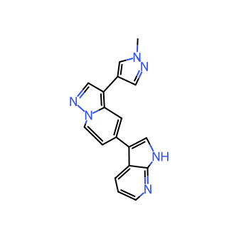 Cn1cc(-c2cnn3ccc(-c4c[nH]c5ncccc45)cc23)cn1